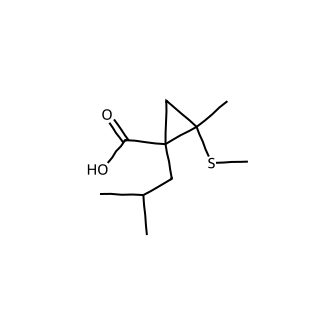 CSC1(C)CC1(CC(C)C)C(=O)O